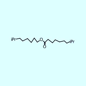 CC(C)CCCCCCOC(=O)CCCCCCC(C)C